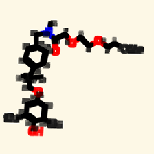 COCCOCCOCC(=O)N(C)Cc1ccc([Si](C)(C)COc2cc(C(C)(C)C)c(O)c(C(C)(C)C)c2)cc1